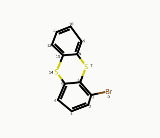 Brc1cccc2c1Sc1ccccc1S2